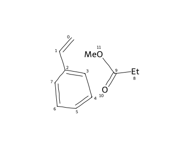 C=Cc1ccccc1.CCC(=O)OC